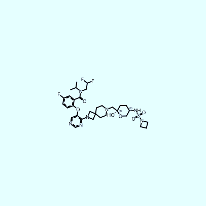 CC(C)N(CC(F)F)C(=O)c1cc(F)ccc1Oc1cncnc1N1CC2(CCN(C[C@@]3(O)CC[C@@H](NS(=O)(=O)N4CCC4)CO3)CC2)C1